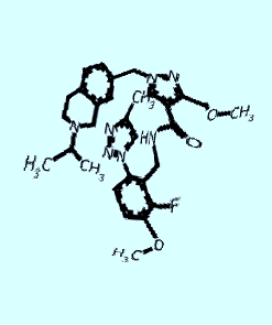 COCc1nn(Cc2ccc3c(c2)CN(C(C)C)CC3)cc1C(=O)NCc1c(-n2cc(C)nn2)ccc(OC)c1F